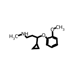 CNCCC(Oc1ccccc1OC)C1CC1